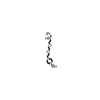 CCC(C)N1CCN(CCOCCOCCNCC(C)C)CC1